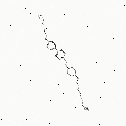 CCCCCCCCC[C@H]1CC[C@H](CCc2cnc(-c3ccc(OCCCCCC)cc3)nc2)CC1